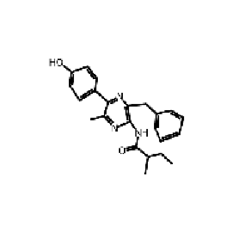 CCC(C)C(=O)Nc1nc(C)c(-c2ccc(O)cc2)nc1Cc1ccccc1